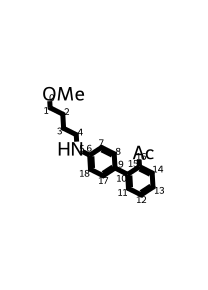 COCCCCNc1ccc(-c2ccccc2C(C)=O)cc1